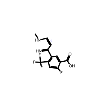 CN/C=C\C(=N)c1cc(C(=O)O)c(F)cc1C(F)(F)F